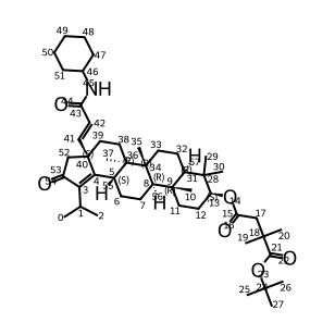 CC(C)C1=C2[C@H]3CC[C@@H]4[C@@]5(C)CC[C@H](OC(=O)CC(C)(C)C(=O)OC(C)(C)C)C(C)(C)[C@@H]5CC[C@@]4(C)[C@]3(C)CC[C@@]2(C=CC(=O)NC2CCCCC2)CC1=O